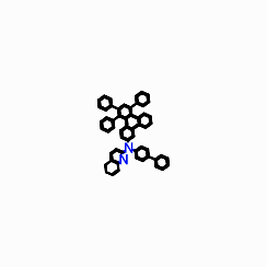 C1=Cc2nc(N(c3ccc(-c4ccccc4)cc3)c3ccc4c(c3)c3ccccc3c3c(-c5ccccc5)cc(-c5ccccc5)c(-c5ccccc5)c43)ccc2CC1